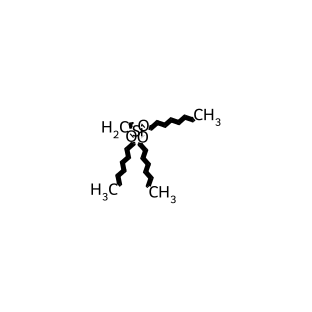 C=C[Si](OCCCCCCCC)(OCCCCCCCC)OCCCCCCCC